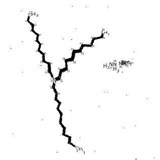 CCCCCCCCCCCCN(CCCCCCCCCCCC)CCCCCCCCCCCC.N.N.N.N.O